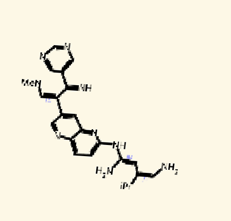 CN/C=C(\C(=N)c1cncnc1)c1cnc2ccc(N/C(N)=C/C(=C\N)C(C)C)nc2c1